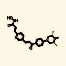 C[C@@H]1CN(c2ccc(C(=O)C=Cc3ccc(C=CC(=O)NO)nc3)cc2)C[C@H](C)N1C